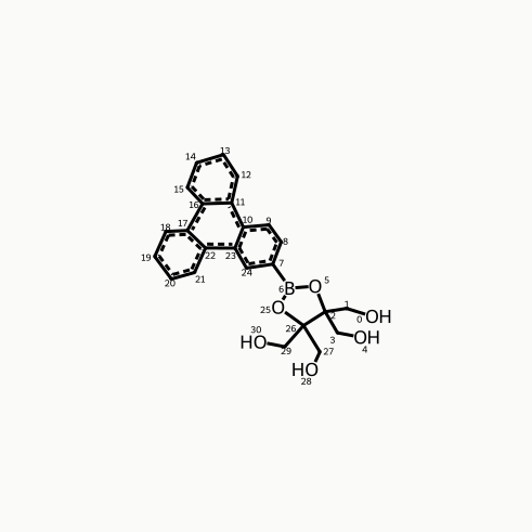 OCC1(CO)OB(c2ccc3c4ccccc4c4ccccc4c3c2)OC1(CO)CO